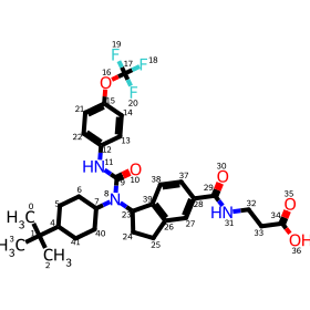 CC(C)(C)C1CCC(N(C(=O)Nc2ccc(OC(F)(F)F)cc2)C2CCc3cc(C(=O)NCCC(=O)O)ccc32)CC1